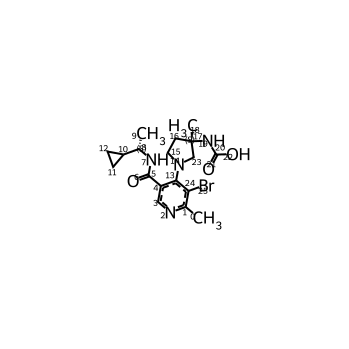 Cc1ncc(C(=O)N[C@@H](C)C2CC2)c(N2CC[C@](C)(NC(=O)O)C2)c1Br